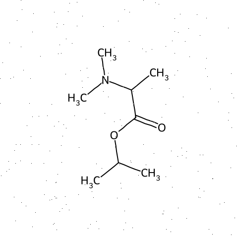 CC(C)OC(=O)C(C)N(C)C